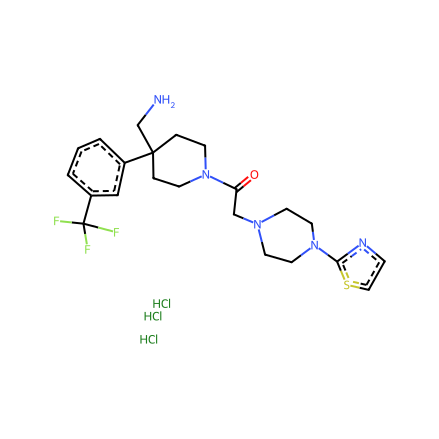 Cl.Cl.Cl.NCC1(c2cccc(C(F)(F)F)c2)CCN(C(=O)CN2CCN(c3nccs3)CC2)CC1